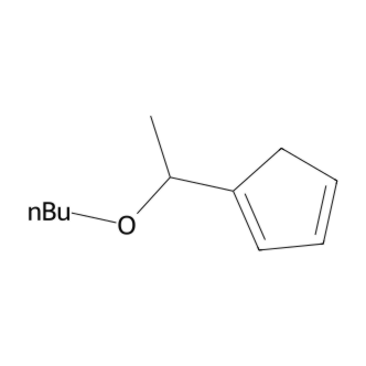 CCCCOC(C)C1=CC=CC1